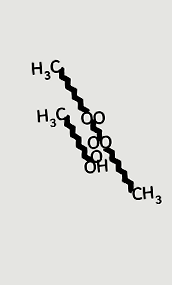 CCCCCCCCCC(=O)O.CCCCCCCCCCOC(=O)CCC(=O)OCCCCCCCCCC